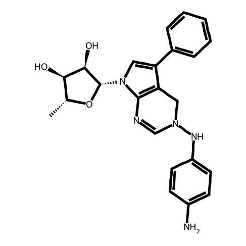 C[C@H]1O[C@@H](n2cc(-c3ccccc3)c3c2N=CN(Nc2ccc(N)cc2)C3)[C@H](O)[C@@H]1O